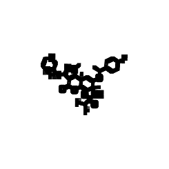 C[C@H](OC1=CC2(C)C(=CC1(C)NS(=O)(=O)C(F)F)OC(=O)c1c(Nc3cnccn3)nn(C)c12)c1ccc(F)cc1